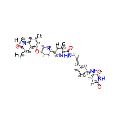 CCc1cc(Oc2ccc(-c3cnc(C(=O)NCC#Cc4cccc(NC5CCC(=O)NC5=O)c4)c(C)c3)nc2)c2cc(C)c(=O)n(C)c2c1